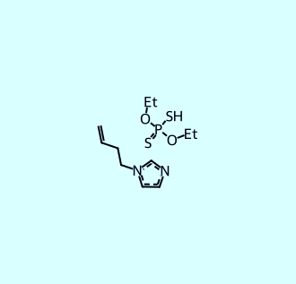 C=CCCn1ccnc1.CCOP(=S)(S)OCC